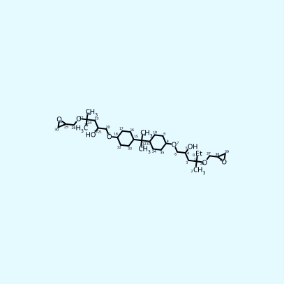 CCC(C)(CC(O)COC1CCC(C(C)(C)C2CCC(OCC(O)CC(C)(C)OCC3CO3)CC2)CC1)OCC1CO1